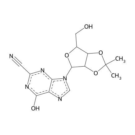 CC1(C)OC2C(CO)OC(n3cnc4c(O)nc(C#N)nc43)C2O1